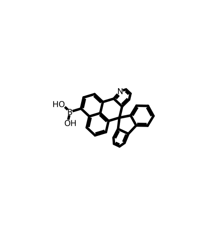 OB(O)c1ccc2c3c(cccc13)C1(c3ccccc3-c3ccccc31)c1cccnc1-2